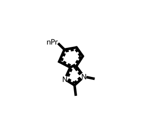 CCCc1ccc2c(c1)nc(C)n2C